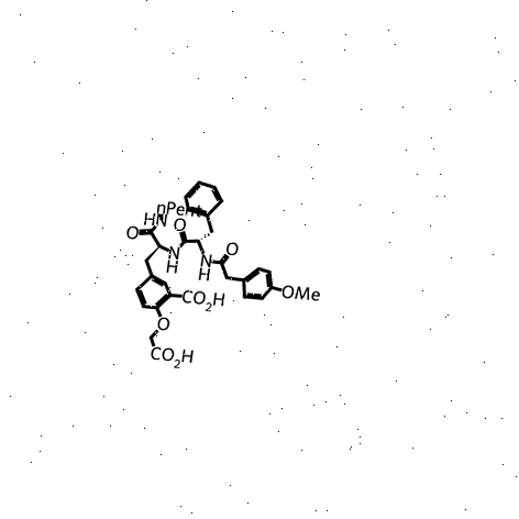 CCCCCNC(=O)[C@H](Cc1ccc(OCC(=O)O)c(C(=O)O)c1)NC(=O)[C@H](Cc1ccccc1)NC(=O)Cc1ccc(OC)cc1